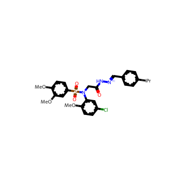 COc1ccc(S(=O)(=O)N(CC(=O)N/N=C/c2ccc(C(C)C)cc2)c2cc(Cl)ccc2OC)cc1OC